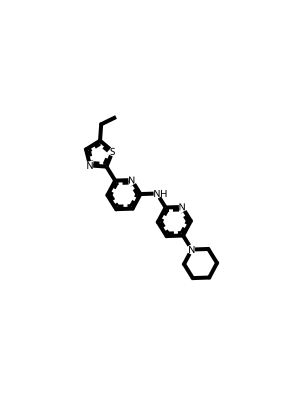 CCc1cnc(-c2cccc(Nc3ccc(N4CCCCC4)cn3)n2)s1